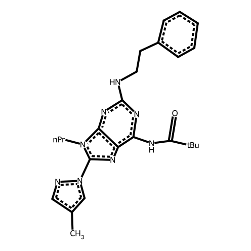 CCCn1c(-n2cc(C)cn2)nc2c(NC(=O)C(C)(C)C)nc(NCCc3ccccc3)nc21